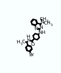 CC(NC(=O)C1CCC(Nc2nc(N(C)C)c3ccccc3n2)CC1)c1ccc(Br)cc1